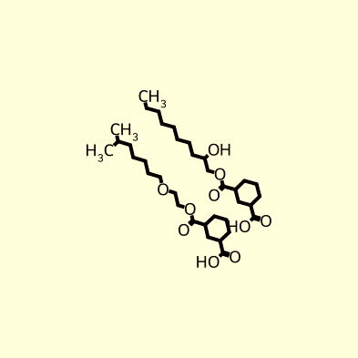 CC(C)CCCCCOCCOC(=O)C1CCCC(C(=O)O)C1.CCCCCCCCC(O)COC(=O)C1CCCC(C(=O)O)C1